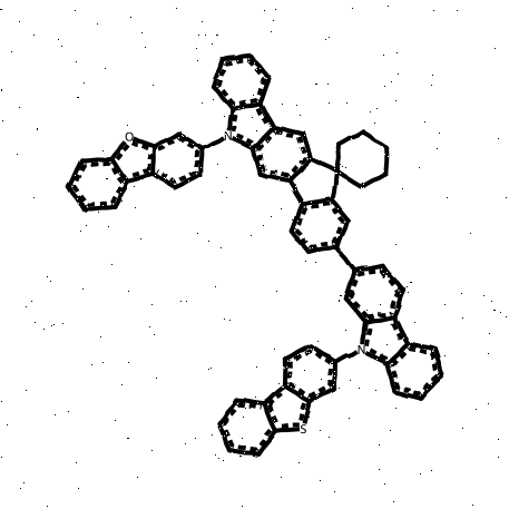 c1ccc2c(c1)oc1cc(-n3c4ccccc4c4cc5c(cc43)-c3ccc(-c4ccc6c7ccccc7n(-c7ccc8c(c7)sc7ccccc78)c6c4)cc3C53CCCCC3)ccc12